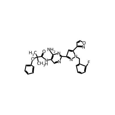 CC(C)(Oc1ccccc1)C(=O)Nc1cnc(-c2cc(-c3ccon3)n(Cc3ccccc3F)n2)nc1N